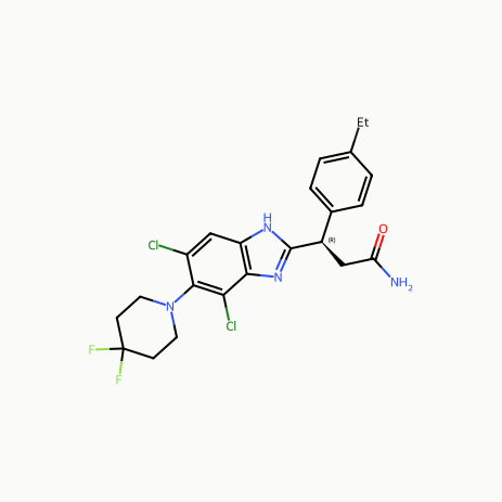 CCc1ccc([C@@H](CC(N)=O)c2nc3c(Cl)c(N4CCC(F)(F)CC4)c(Cl)cc3[nH]2)cc1